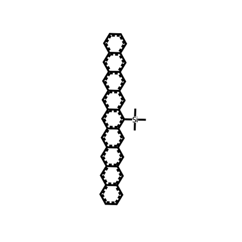 C[Si](C)(C)c1c2cc3cc4cc5ccccc5cc4cc3cc2cc2cc3cc4cc5ccccc5cc4cc3cc12